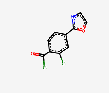 O=C(Cl)c1ccc(-c2ncco2)cc1Cl